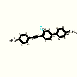 CCCCc1ccc(C#Cc2ccc(-c3ccc(C)cc3)cc2F)cc1